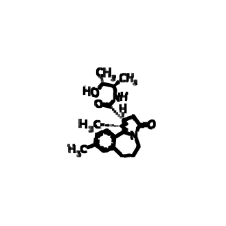 Cc1ccc2c(c1)CCCN1C(=O)C[C@H]3[C@H](C(=O)N[C@H](C)[C@@H](C)O)[C@@H](C)CC231